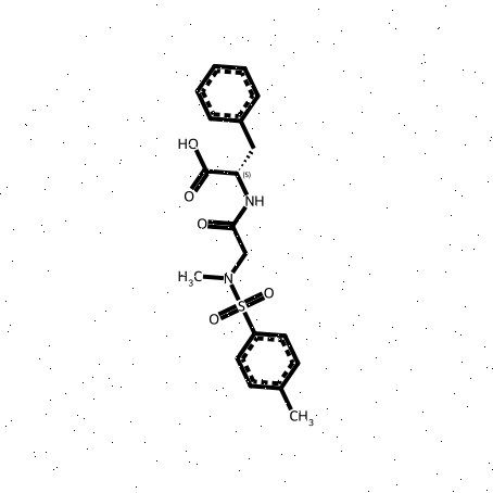 Cc1ccc(S(=O)(=O)N(C)CC(=O)N[C@@H](Cc2ccccc2)C(=O)O)cc1